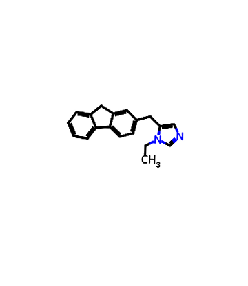 CCn1cncc1Cc1ccc2c(c1)Cc1ccccc1-2